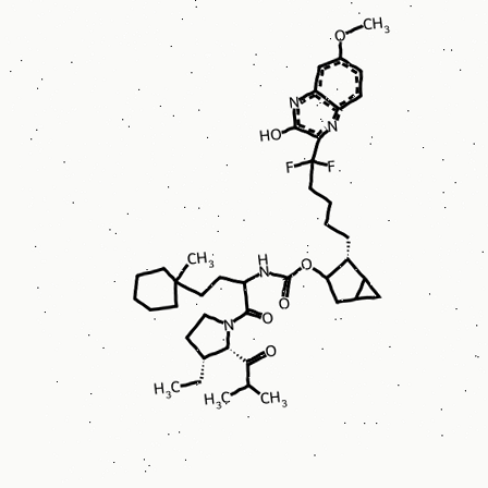 CC[C@@H]1CCN(C(=O)C(CCC2(C)CCCCC2)NC(=O)OC2CC3CC3[C@H]2CCCCC(F)(F)c2nc3ccc(OC)cc3nc2O)[C@@H]1C(=O)C(C)C